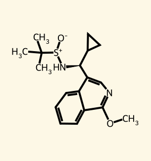 COc1ncc([C@@H](N[S+]([O-])C(C)(C)C)C2CC2)c2ccccc12